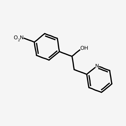 O=[N+]([O-])c1ccc(C(O)Cc2ccccn2)cc1